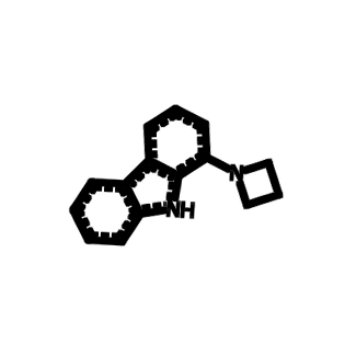 c1ccc2c(c1)[nH]c1c(N3CCC3)cccc12